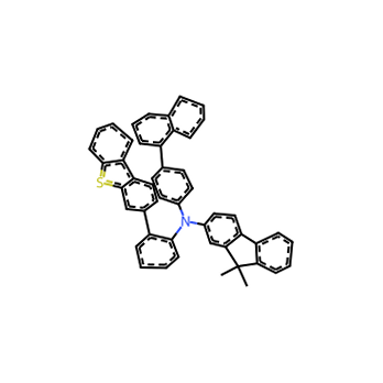 CC1(C)c2ccccc2-c2ccc(N(c3ccc(-c4cccc5ccccc45)cc3)c3ccccc3-c3ccc4c(c3)sc3ccccc34)cc21